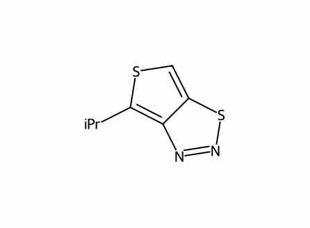 CC(C)c1scc2snnc12